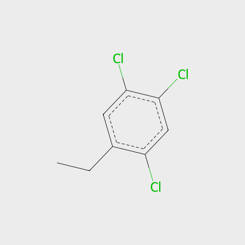 CCc1cc(Cl)c(Cl)cc1Cl